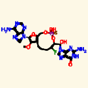 CO[C@@H]1C2=C(COP(O)(=S)O[C@@H]([C@@H](O)n3cnc4c(=O)[nH]c(N)nc43)[C@@H](F)CCC2)O[C@H]1n1cnc2c(N)ncnc21